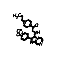 C=CCN1CCN(C(=O)CNc2c(-c3ccc(OC(F)(F)F)cc3)nc3cnccn23)CC1